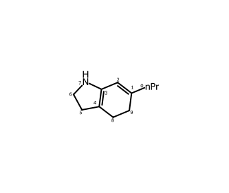 CCCC1=CC2=C(CCN2)CC1